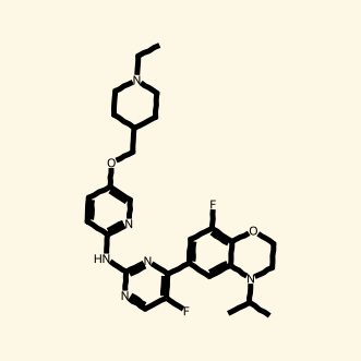 CCN1CCC(COc2ccc(Nc3ncc(F)c(-c4cc(F)c5c(c4)N(C(C)C)CCO5)n3)nc2)CC1